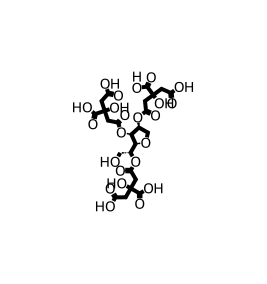 O=C(O)CC(O)(CC(=O)O[C@H]1[C@@H]([C@@H](CO)OC(=O)CC(O)(CC(=O)O)C(=O)O)OC[C@@H]1OC(=O)CC(O)(CC(=O)O)C(=O)O)C(=O)O